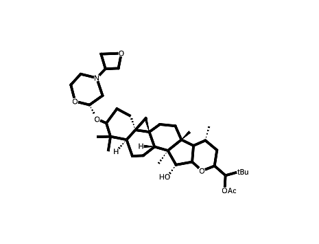 CC(=O)OC(C1C[C@@H](C)C2C(O1)[C@H](O)[C@@]1(C)[C@@H]3CC[C@H]4C(C)(C)C(O[C@H]5CN(C6COC6)CCO5)CC[C@@]45C[C@@]35CC[C@]21C)C(C)(C)C